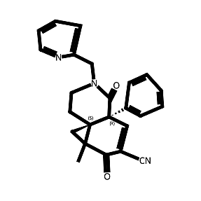 CC12C[C@]13CCN(Cc1ccccn1)C(=O)[C@@]3(c1ccccc1)C=C(C#N)C2=O